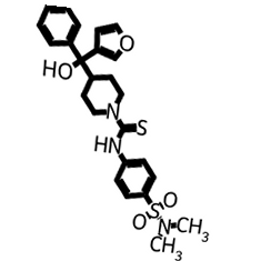 CN(C)S(=O)(=O)c1ccc(NC(=S)N2CCC(C(O)(c3ccccc3)c3ccoc3)CC2)cc1